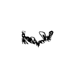 CC1(c2cnc([C@@H]3CCc4nc(-c5cc(Cl)ccc5-n5cnnn5)cc(=O)n43)[nH]2)C=C(C(=O)OCC(=O)N2CCCC2)SC1